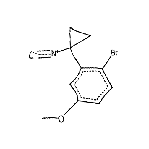 [C-]#[N+]C1(c2cc(OC)ccc2Br)CC1